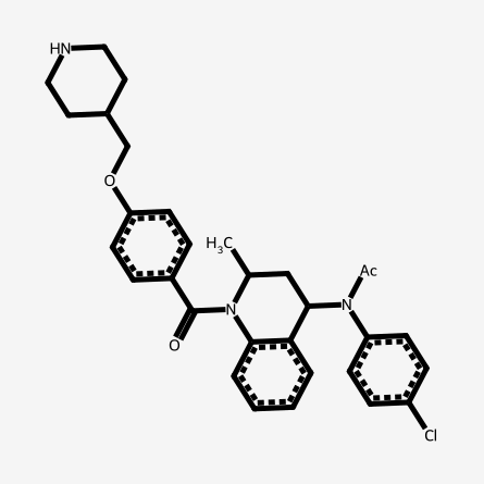 CC(=O)N(c1ccc(Cl)cc1)C1CC(C)N(C(=O)c2ccc(OCC3CCNCC3)cc2)c2ccccc21